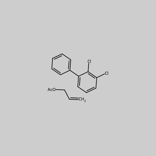 C=CCOC(C)=O.Clc1cccc(-c2ccccc2)c1Cl